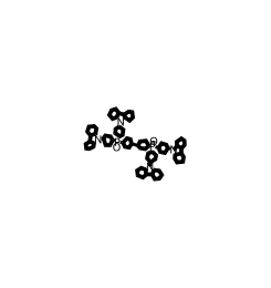 O=P(c1ccc(-c2ccc(P(=O)(c3ccc(-n4c5ccccc5c5ccccc54)cc3)c3ccc(-n4c5ccccc5c5ccccc54)cc3)cc2)cc1)(c1ccc(-n2c3ccccc3c3ccccc32)cc1)c1ccc(-n2c3ccccc3c3ccccc32)cc1